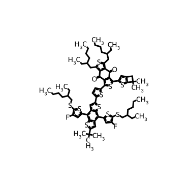 CCCCC(CC)CSc1sc(-c2c3cc(C(C)(C)C)sc3c(-c3cc(F)c(SCC(CC)CCCC)s3)c3cc(-c4ccc(-c5sc(-c6cc7c(s6)C(C)(C)C7)c6c5C(=O)c5c(CC(CC)CCCC)sc(CC(CC)CCCC)c5C6=O)s4)sc23)cc1F